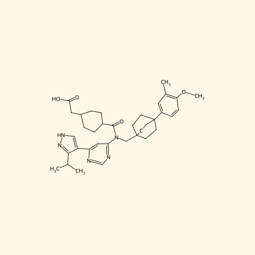 COc1ccc(C23CCC(CN(C(=O)C4CCC(CC(=O)O)CC4)c4cc(-c5c[nH]nc5C(C)C)ncn4)(CC2)CC3)cc1C